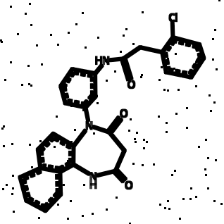 O=C(Cc1ccccc1Cl)Nc1cccc(N2C(=O)CC(=O)Nc3c2ccc2ccccc32)c1